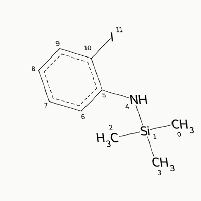 C[Si](C)(C)Nc1ccccc1I